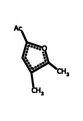 CC(=O)c1cc(C)c(C)o1